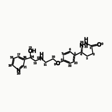 O=C1CCC(c2ccc(OCCNCC(O)c3cccnc3)cc2)=NN1